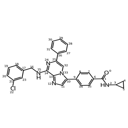 O=C(NC1CC1)c1ccc(-c2cnc3c(NCc4cccc(Cl)c4)nc(-c4ccccc4)cn23)cc1